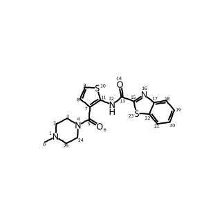 CN1CCN(C(=O)c2ccsc2NC(=O)c2nc3ccccc3s2)CC1